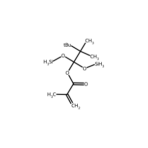 C=C(C)C(=O)OC(O[SiH3])(O[SiH3])C(C)(C)C(C)(C)C